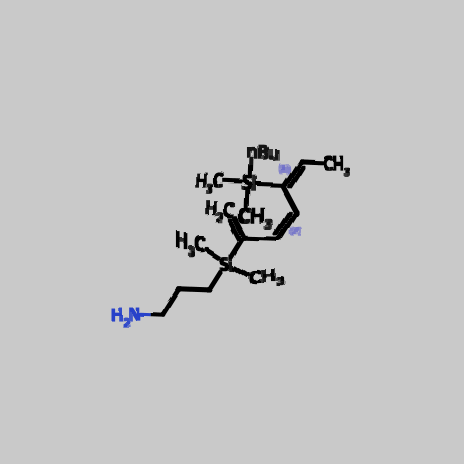 C=C(/C=C\C(=C/C)[Si](C)(C)CCCC)[Si](C)(C)CCCN